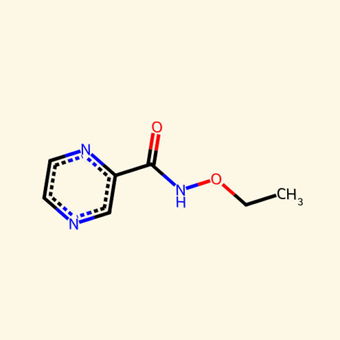 CCONC(=O)c1cnccn1